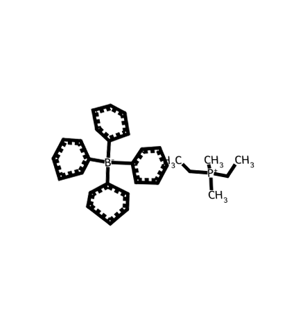 CC[P+](C)(C)CC.c1ccc([B-](c2ccccc2)(c2ccccc2)c2ccccc2)cc1